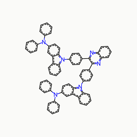 c1ccc(N(c2ccccc2)c2ccc3c(c2)c2ccccc2n3-c2ccc(-c3nc4ccccc4nc3-c3ccc(-n4c5ccccc5c5cc(N(c6ccccc6)c6ccccc6)ccc54)cc3)cc2)cc1